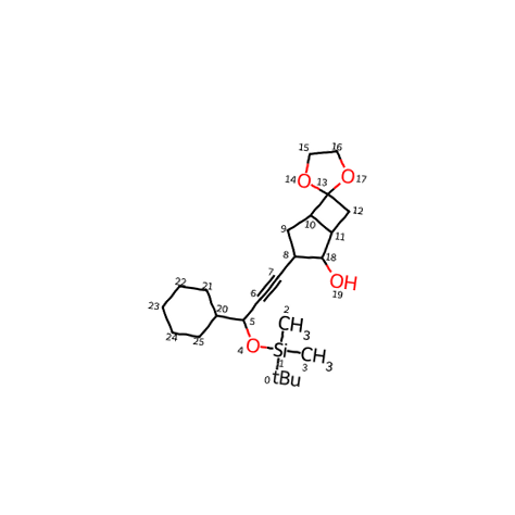 CC(C)(C)[Si](C)(C)OC(C#CC1CC2C(CC23OCCO3)C1O)C1CCCCC1